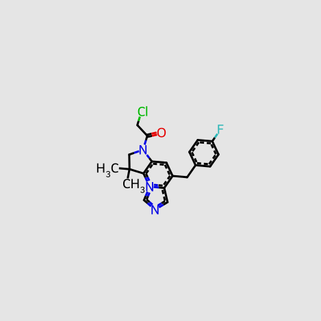 CC1(C)CN(C(=O)CCl)c2cc(Cc3ccc(F)cc3)c3cncn3c21